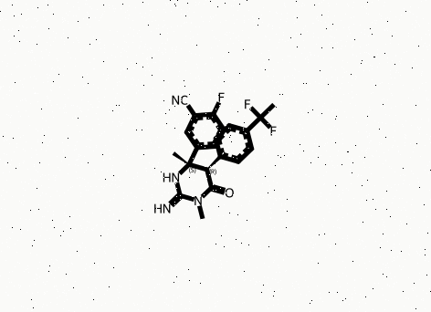 CN1C(=N)N[C@](C)(c2ccc(F)c(C#N)c2)[C@@H](c2ccc(C(C)(F)F)cc2)C1=O